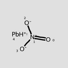 O=[N+]([O-])[O-].[PbH+]